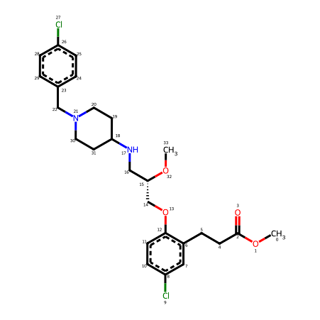 COC(=O)CCc1cc(Cl)ccc1OC[C@H](CNC1CCN(Cc2ccc(Cl)cc2)CC1)OC